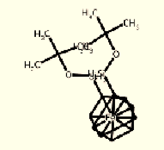 CC(C)(C)O[SiH2][C]12[CH]3[CH]4[CH]5[CH]1[Fe]45321678[CH]2[CH]1[CH]6[C]7([SiH2]OC(C)(C)C)[CH]28